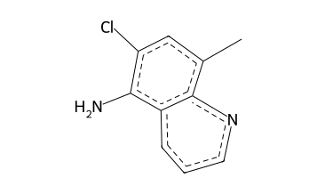 Cc1cc(Cl)c(N)c2cccnc12